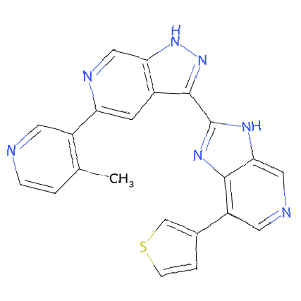 Cc1ccncc1-c1cc2c(-c3nc4c(-c5ccsc5)cncc4[nH]3)n[nH]c2cn1